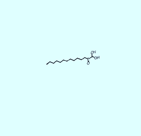 CCCCCCCCCCCC[P](=O)C(O)O